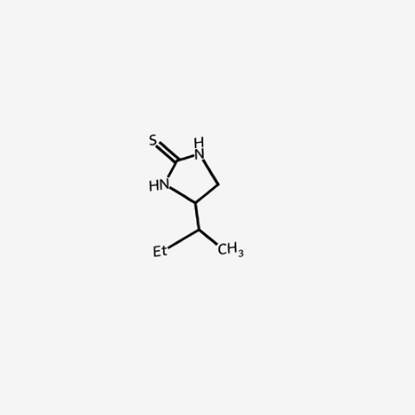 CCC(C)C1CNC(=S)N1